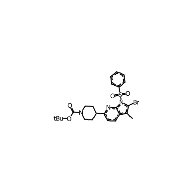 Cc1c(Br)n(S(=O)(=O)c2ccccc2)c2nc(C3CCN(C(=O)OC(C)(C)C)CC3)ccc12